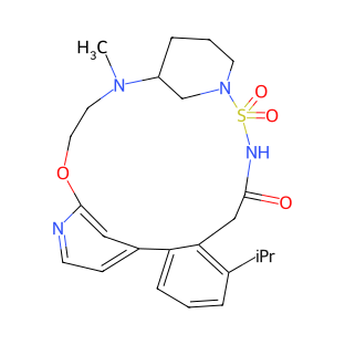 CC(C)c1cccc2c1CC(=O)NS(=O)(=O)N1CCCC(C1)N(C)CCOc1cc-2ccn1